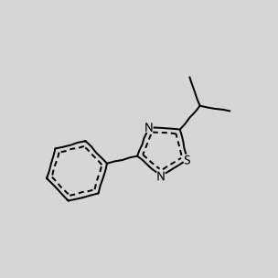 CC(C)c1nc(-c2ccccc2)ns1